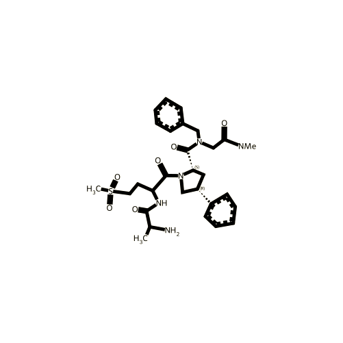 CNC(=O)CN(Cc1ccccc1)C(=O)[C@@H]1C[C@H](c2ccccc2)CN1C(=O)C(CCS(C)(=O)=O)NC(=O)C(C)N